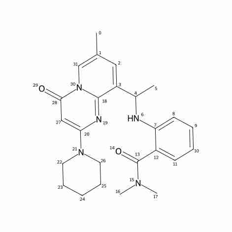 Cc1cc(C(C)Nc2ccccc2C(=O)N(C)C)c2nc(N3CCCCC3)cc(=O)n2c1